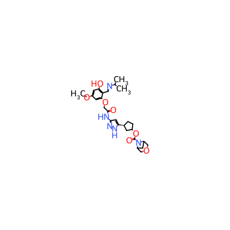 COc1cc(O)c(/C=N/C(C)C)c(OCC(=O)Nc2cc([C@H]3CC[C@@H](OC(=O)N4C5COCC4C5)C3)[nH]n2)c1